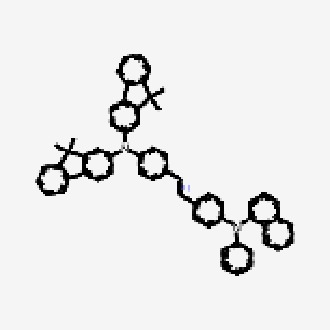 CC1(C)c2ccccc2-c2ccc(N(c3ccc(/C=C/c4ccc(N(c5ccccc5)c5cccc6ccccc56)cc4)cc3)c3ccc4c(c3)C(C)(C)c3ccccc3-4)cc21